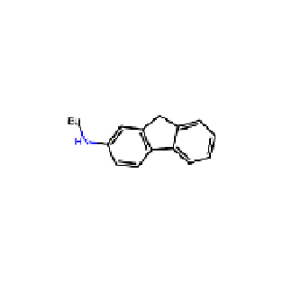 CCC(C)Nc1[c]c2c(cc1)-c1ccccc1C2